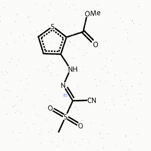 COC(=O)c1sccc1N/N=C(\C#N)S(C)(=O)=O